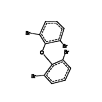 Brc1cccc(Br)c1Oc1c(Br)cccc1Br